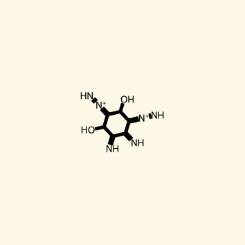 N=[N+]=C1C(=N)C(=N)C(O)C(=[N+]=N)C1O